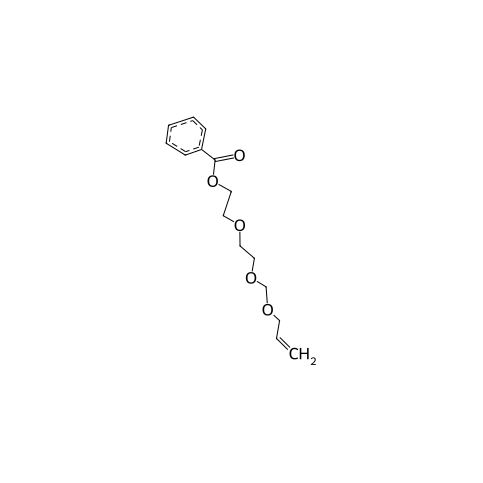 C=CCOCOCCOCCOC(=O)c1ccccc1